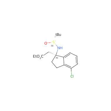 CCOC(=O)C[C@@]1(N[S@+]([O-])C(C)(C)C)CCc2c(Cl)cccc21